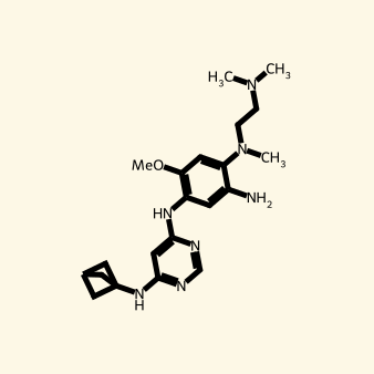 COc1cc(N(C)CCN(C)C)c(N)cc1Nc1cc(NC23CC(C2)C3)ncn1